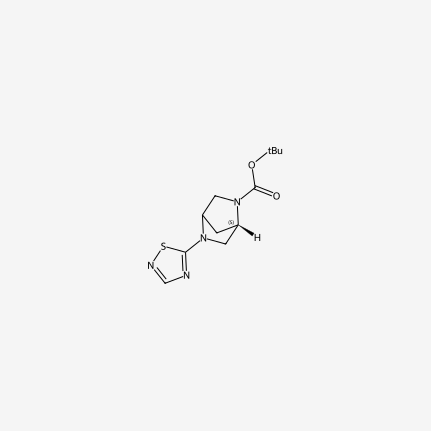 CC(C)(C)OC(=O)N1CC2C[C@H]1CN2c1ncns1